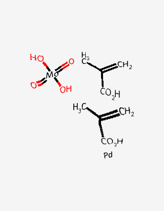 C=C(C)C(=O)O.C=C(C)C(=O)O.[O]=[Mo](=[O])([OH])[OH].[Pd]